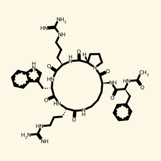 CC(=O)N[C@@H](Cc1ccccc1)C(=O)N[C@H]1CCCNC(=O)[C@H](CCCNC(=N)N)NC(=O)[C@H](Cc2c[nH]c3ccccc23)NC(=O)[C@@H](CCCNC(=N)N)NC(=O)[C@@H]2CCCN2C1=O